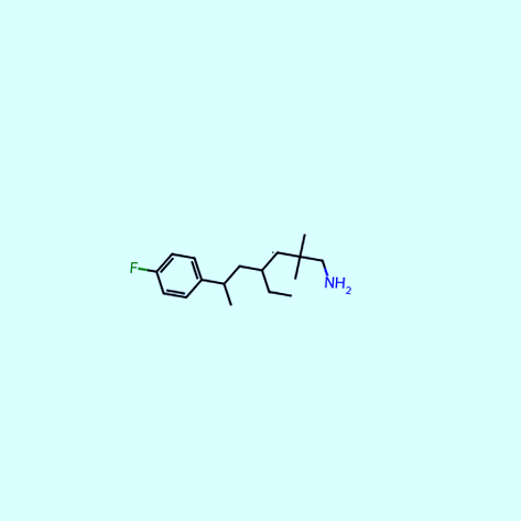 CCC([CH]C(C)(C)CN)CC(C)c1ccc(F)cc1